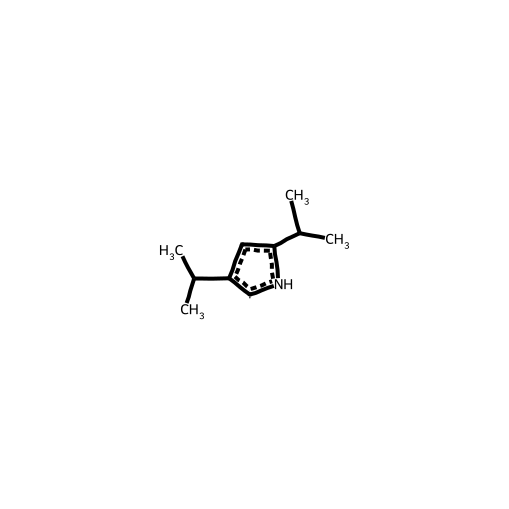 CC(C)c1[c][nH]c(C(C)C)c1